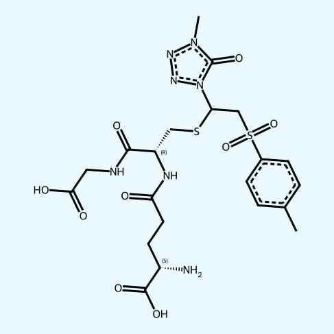 Cc1ccc(S(=O)(=O)CC(SC[C@H](NC(=O)CC[C@H](N)C(=O)O)C(=O)NCC(=O)O)n2nnn(C)c2=O)cc1